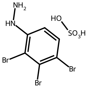 NNc1ccc(Br)c(Br)c1Br.O=S(=O)(O)O